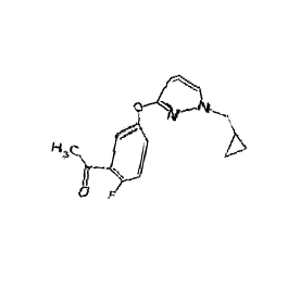 CC(=O)c1cc(Oc2ccn(CC3CC3)n2)ccc1F